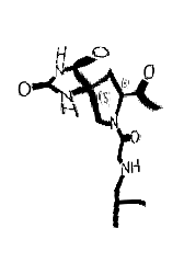 CC(=O)[C@@H]1C[C@@]2(CN1C(=O)CNCC(C)C)NC(=O)NC2=O